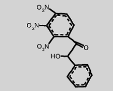 O=C(c1ccc([N+](=O)[O-])c([N+](=O)[O-])c1[N+](=O)[O-])C(O)c1ccccc1